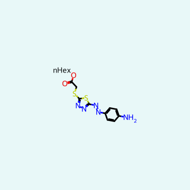 CCCCCCOC(=O)CSc1nnc(/N=N/c2ccc(N)cc2)s1